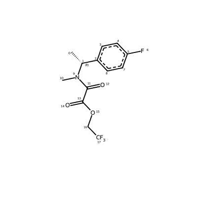 C[C@H](c1ccc(F)cc1)N(C)C(=O)C(=O)OCC(F)(F)F